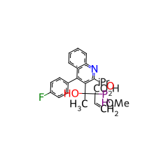 C=CC(C(=O)O)([PH](=O)OC)C(C)(O)c1c(C(C)C)nc2ccccc2c1-c1ccc(F)cc1